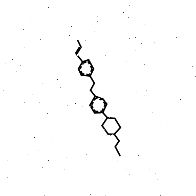 CC=Cc1ccc(CCc2ccc(C3CCC(CCC)CC3)cc2)cc1